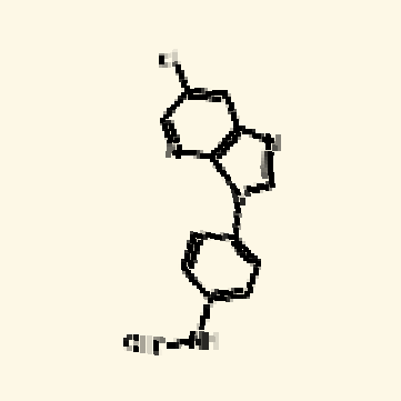 O=CNc1ccc(-n2cnc3cc(Cl)cnc32)cc1